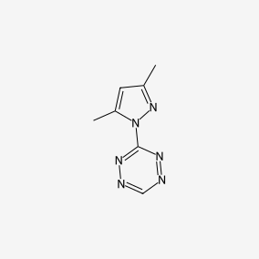 Cc1cc(C)n(-c2nncnn2)n1